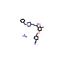 CNC.Cc1cc(OCc2ccc(C#N)cc2)cc2c(CCC3CCN(Cc4ccccc4)CC3)noc12